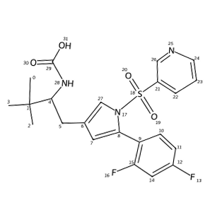 CC(C)(C)C(Cc1cc(-c2ccc(F)cc2F)n(S(=O)(=O)c2cccnc2)c1)NC(=O)O